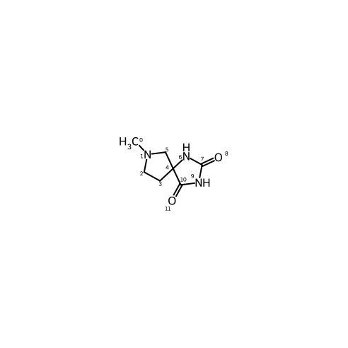 CN1CCC2(C1)NC(=O)NC2=O